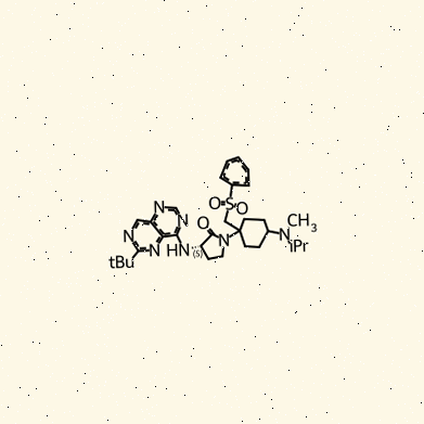 CC(C)N(C)C1CCC(CS(=O)(=O)c2ccccc2)(N2CC[C@H](Nc3ncnc4cnc(C(C)(C)C)nc34)C2=O)CC1